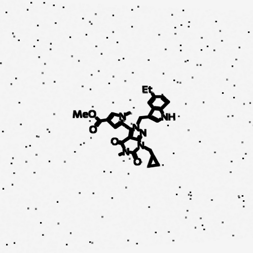 CCc1ccc2[nH]cc(Cn3nc4c(c3-c3cc(C(=O)OC)cn3C)c(=O)n(C)c(=O)n4CC3CC3)c2c1